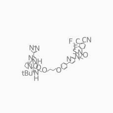 CC(C)(C)[C@H](NC(=O)COCCCCOc1ccc(-c2ccc(N3C(=S)N(c4ccc(C#N)c(C(F)(F)F)c4F)C(=O)C3(C)C)cn2)cc1)C(=O)N1CCC[C@H]1c1nc(-c2cncnc2)c[nH]1